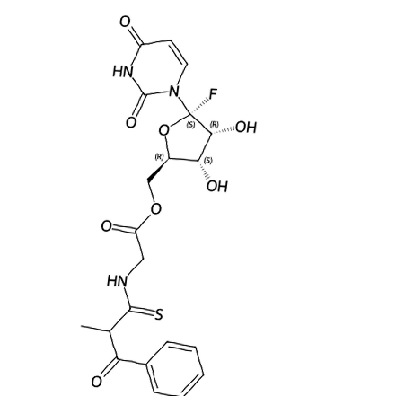 CC(C(=O)c1ccccc1)C(=S)NCC(=O)OC[C@H]1O[C@@](F)(n2ccc(=O)[nH]c2=O)[C@H](O)[C@@H]1O